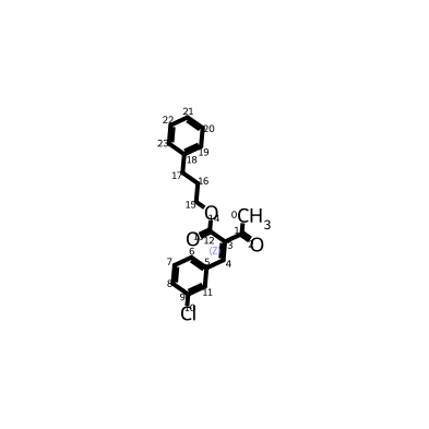 CC(=O)/C(=C/c1cccc(Cl)c1)C(=O)OCCCc1ccccc1